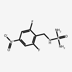 NP(N)(=O)NCc1c(F)cc([N+](=O)[O-])cc1F